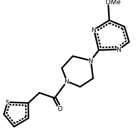 COc1ccnc(N2CCN(C(=O)Cc3cccs3)CC2)n1